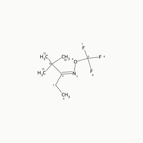 CCC(=NOC(F)(F)F)C(C)(C)C